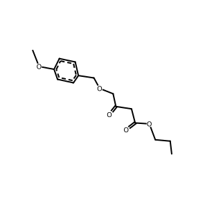 CCCOC(=O)CC(=O)COCc1ccc(OC)cc1